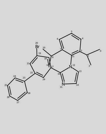 CC(C)c1cccc(C(C)C)c1-n1ccnc1-c1cc(Br)cc(-c2ccccc2)c1